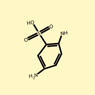 [NH]c1ccc(N)cc1S(=O)(=O)O